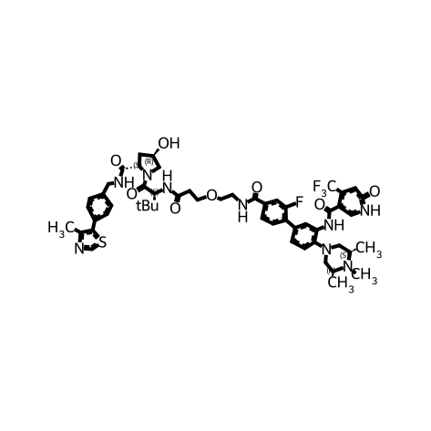 Cc1ncsc1-c1ccc(CNC(=O)[C@@H]2C[C@@H](O)CN2C(=O)[C@@H](NC(=O)CCOCCNC(=O)c2ccc(-c3ccc(N4C[C@@H](C)N(C)[C@@H](C)C4)c(NC(=O)c4c[nH]c(=O)cc4C(F)(F)F)c3)c(F)c2)C(C)(C)C)cc1